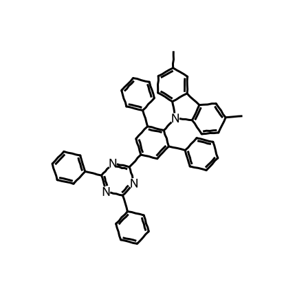 Cc1ccc2c(c1)c1cc(C)ccc1n2-c1c(-c2ccccc2)cc(-c2nc(-c3ccccc3)nc(-c3ccccc3)n2)cc1-c1ccccc1